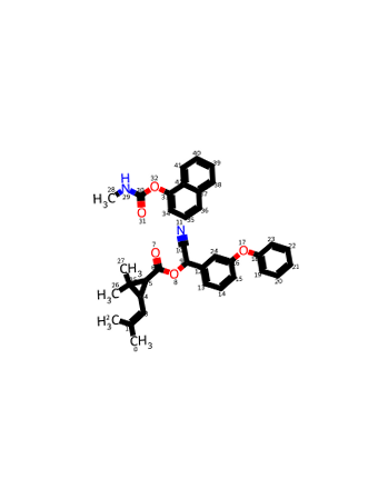 CC(C)=CC1C(C(=O)OC(C#N)c2cccc(Oc3ccccc3)c2)C1(C)C.CNC(=O)Oc1cccc2ccccc12